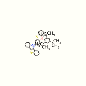 CC(C)c1cc(C(C)C)c(B2c3ccccc3Sc3cc(-n4c5ccccc5c5sc6ccccc6c54)ccc32)c(C(C)C)c1